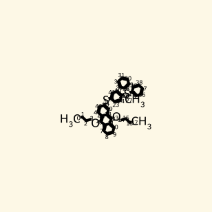 CCCCOc1c2ccccc2c(OCCCC)c2cc(Sc3ccc(S(C)(c4ccccc4)c4ccccc4)cc3)ccc12